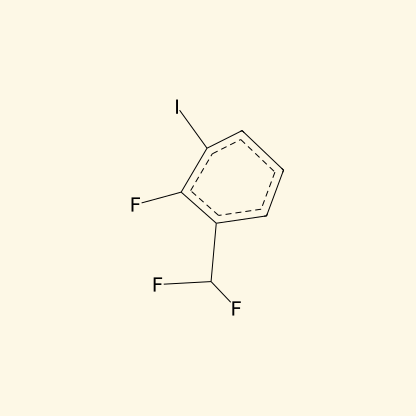 Fc1c(I)cccc1C(F)F